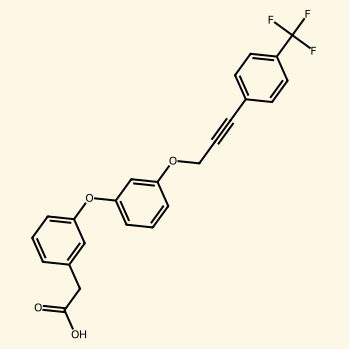 O=C(O)Cc1cccc(Oc2cccc(OCC#Cc3ccc(C(F)(F)F)cc3)c2)c1